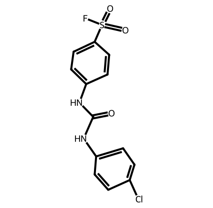 O=C(Nc1ccc(Cl)cc1)Nc1ccc(S(=O)(=O)F)cc1